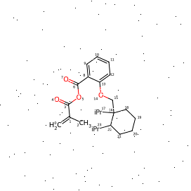 C=C(C)C(=O)OC(=O)c1ccccc1OCC1(C(C)C)CCCCC1C(C)C